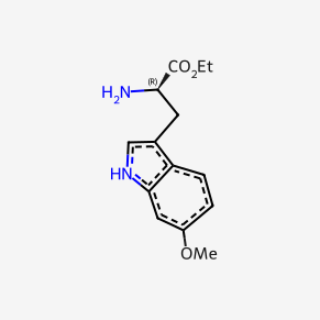 CCOC(=O)[C@H](N)Cc1c[nH]c2cc(OC)ccc12